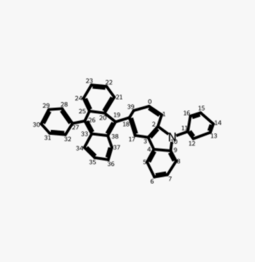 C1=Cc2c(c3ccccc3n2-c2ccccc2)C=C(c2c3ccccc3c(-c3ccccc3)c3ccccc23)C1